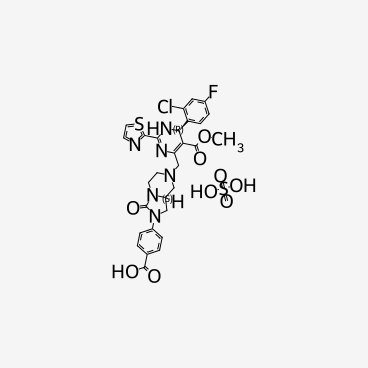 COC(=O)C1=C(CN2CCN3C(=O)N(c4ccc(C(=O)O)cc4)C[C@@H]3C2)N=C(c2nccs2)N[C@H]1c1ccc(F)cc1Cl.O=S(=O)(O)O